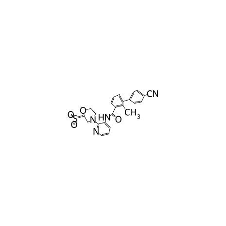 Cc1c(C(=O)Nc2cccnc2N2CCOC(=S(=O)=O)C2)cccc1-c1ccc(C#N)cc1